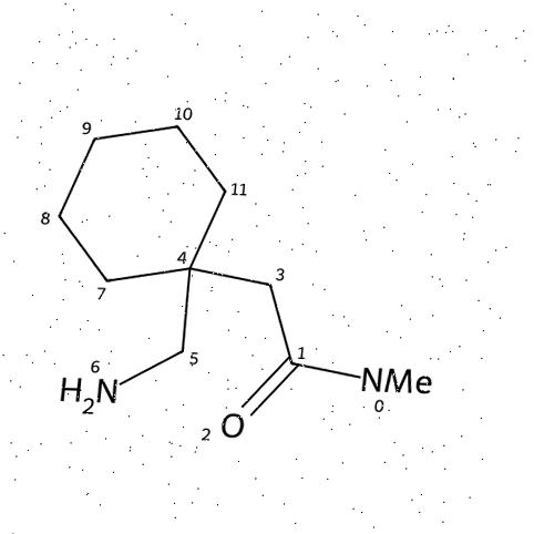 CNC(=O)CC1(CN)CCCCC1